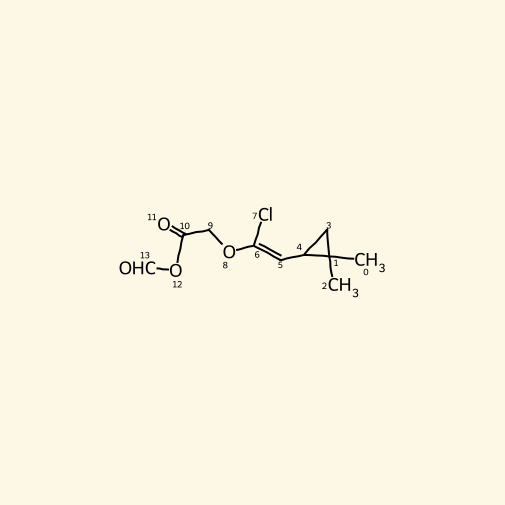 CC1(C)CC1C=C(Cl)OCC(=O)OC=O